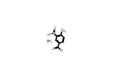 Cc1ccc(C(=O)Cl)cc1[N+](=O)[O-].N